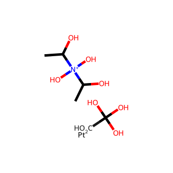 CC(O)[N+](O)(O)C(C)O.O=C(O)C(O)(O)O.[Pt]